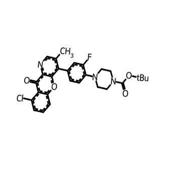 Cc1cnc2c(=O)c3c(Cl)cccc3oc2c1-c1ccc(N2CCN(C(=O)OC(C)(C)C)CC2)c(F)c1